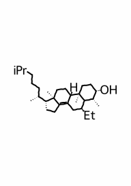 CC[C@H]1CC2=C3CC[C@H]([C@H](C)CCCC(C)C)[C@@]3(C)CC[C@@H]2[C@@]2(C)CC[C@H](O)[C@H](C)C12